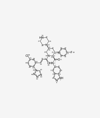 O=C(Nc1ccc2[nH]ncc2c1)[C@@H]1[C@H](c2ccc(F)cc2)C[C@H](N2CCNCC2)CN1C(=O)C=Cc1cc(Cl)ccc1-n1cnnn1